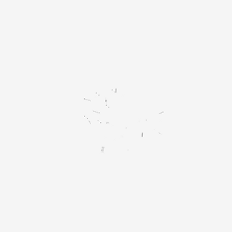 C#CC1(F)C(CO)[C@@H]([C@H](C)OP(=O)(O)OP(=O)(O)OP(=O)(O)O)O[C@H]1n1cnc2c(=O)[nH]c(N)nc21